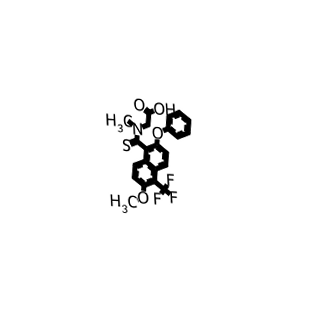 COc1ccc2c(C(=S)N(C)CC(=O)O)c(Oc3ccccc3)ccc2c1C(F)(F)F